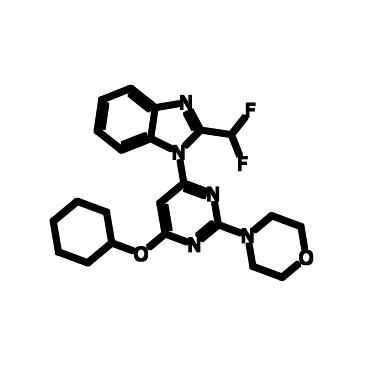 FC(F)c1nc2ccccc2n1-c1cc(OC2CCCCC2)nc(N2CCOCC2)n1